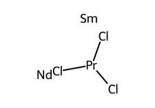 [Cl][Pr]([Cl])[Cl].[Nd].[Sm]